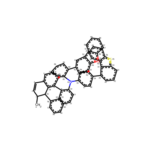 CC1C=Cc2cccc(-c3ccccc3N(c3ccc(-c4cccc5sc6ccccc6c45)cc3)c3ccccc3-c3ccc4oc5ccccc5c4c3)c2C1c1ccccc1